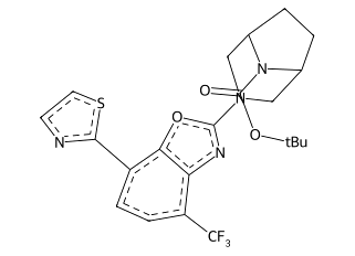 CC(C)(C)OC(=O)N1C2CCC1CN(c1nc3c(C(F)(F)F)ccc(-c4nccs4)c3o1)C2